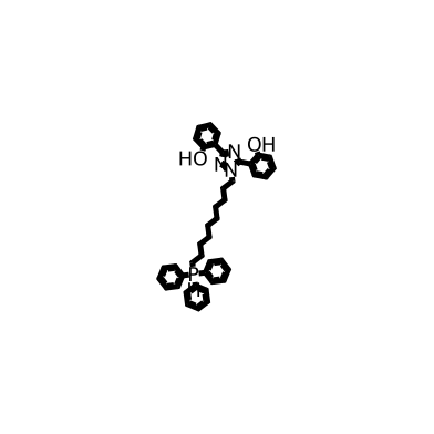 Oc1ccccc1-c1nc(-c2ccccc2O)n(CCCCCCCCCC[PH](c2ccccc2)(c2ccccc2)c2ccccc2)n1